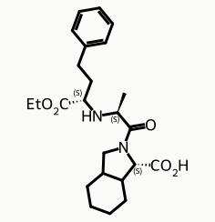 CCOC(=O)[C@H](CCc1ccccc1)N[C@@H](C)C(=O)N1CC2CCCCC2[C@H]1C(=O)O